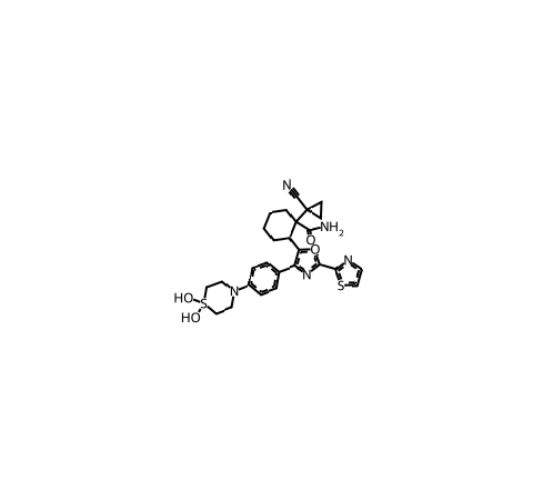 N#CC1(C2(C(N)=O)CCCCC2c2oc(-c3nccs3)nc2-c2ccc(N3CCS(O)(O)CC3)cc2)CC1